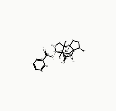 C[C@@H]1CC[C@@]2(O)C13CC(=O)C1(C)C2(C)CO[C@]1(OC(=O)c1ccccc1)[C@@H]3O